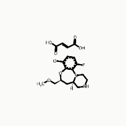 COC[C@@H]1C[C@@H]2CNCCN2c2c(F)ccc(Cl)c2O1.O=C(O)/C=C/C(=O)O